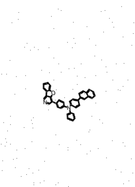 c1ccc(N(c2ccc(-c3ccc4ccccc4c3)cc2)c2ccc(-c3cncc4c3oc3ccccc34)cc2)cc1